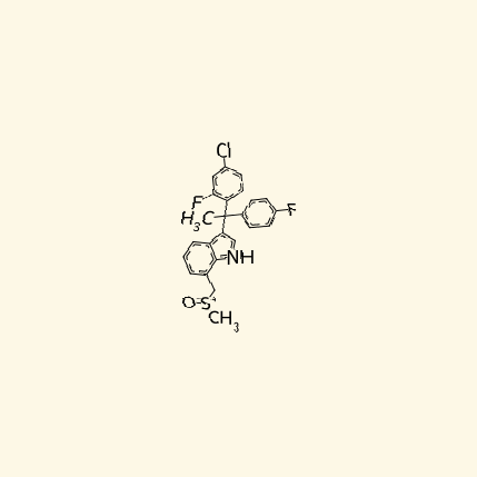 C[S+]([O-])Cc1cccc2c(C(C)(c3ccc(F)cc3)c3ccc(Cl)cc3F)c[nH]c12